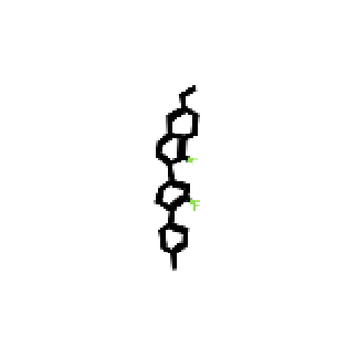 CCc1ccc2c(F)c(-c3ccc(-c4ccc(C)cc4)c(F)c3)ccc2c1